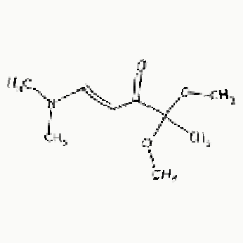 COC(C)(OC)C(=O)/C=C/N(C)C